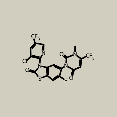 Cn1c(C(F)(F)F)cc(=O)n(-c2cc3c(cc2F)sc(=O)n3-c2ncc(C(F)(F)F)cc2Cl)c1=O